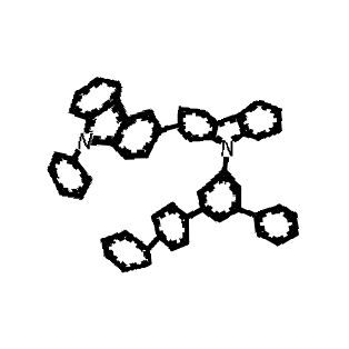 c1ccc(-c2ccc(-c3cc(-c4ccccc4)cc(-n4c5ccccc5c5ccc(-c6ccc7c(c6)c6ccccc6n7-c6ccccc6)cc54)c3)cc2)cc1